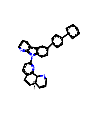 C1=C[C@H]2C=Cc3ccc(-n4c5ccc(-c6ccc(-c7ccccc7)cc6)cc5c5cccnc54)nc3C2N=C1